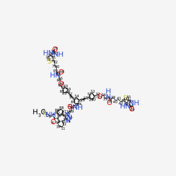 CSNCCC(=O)C1c2ccccc2-c2nnn(CCC(=O)Nc3cc(C#Cc4ccc(COCCNC(=O)CCCCC5SCC6NC(=O)NC65)cc4)cc(C#Cc4ccc(COCCNC(=O)CCCCC5SCC6NC(=O)NC65)cc4)c3)c2-c2ccccc21